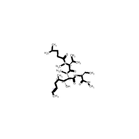 C/C=C/C[C@@H](C)[C@@H](O)[C@@H](C(=O)N[C@@H](CC)C(=O)NC)N(C)C(=O)[C@H](C(C)C)N(C)C(=O)CCC(C)C